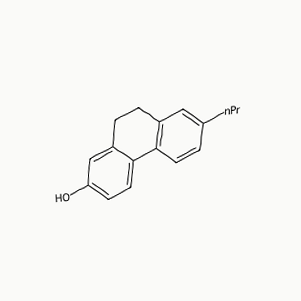 CCCc1ccc2c(c1)CCc1cc(O)ccc1-2